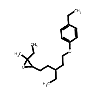 CCc1ccc(OCCC(CC)CCC2OC2(C)CC)cc1